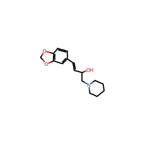 OC(C=Cc1ccc2c(c1)OCO2)CN1CCCCC1